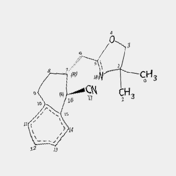 CC1(C)COC(C[C@H]2CCc3ccccc3[C@@H]2C#N)=N1